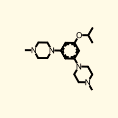 CC(C)Oc1cc(N2CCN(C)CC2)cc(N2CCN(C)CC2)c1